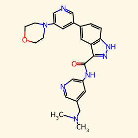 CN(C)Cc1cncc(NC(=O)c2n[nH]c3ccc(-c4cncc(N5CCOCC5)c4)cc23)c1